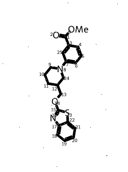 COC(=O)c1cccc(N2CCCC(COc3nc4ccccc4s3)C2)c1